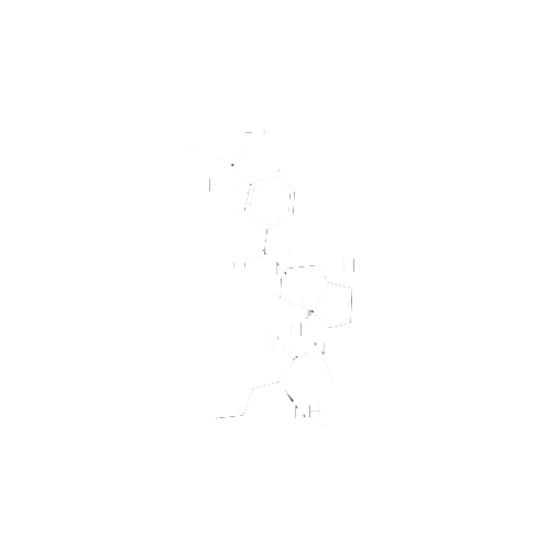 CCC[C@H](N)C(=O)N(C)[C@H]1CC[C@@H]2CN(C(=O)c3cccc(C(F)(F)F)c3)C[C@@H]21